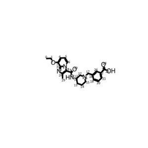 CCOc1cccn2c(C(=O)N[C@H]3CCCN(Cc4cccc(C(=O)O)c4)C3)c(C)nc12